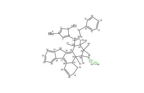 CCC1C=C(C(C)(C)C)C=[C]1[Zr+2](=[CH]Cc1ccccc1)[C]1(C)C2=C3Cc4ccccc4C3=C3C=CCCC3C2(C)C(C)(C)C(C)(C)C1(C)C.[Cl-].[Cl-]